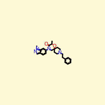 CC1OC2(CCN(CCc3ccccc3)CC2)CN(c2ccc3cnn(C)c3c2)C1=O